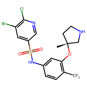 C[C@@]1(Oc2cc(NS(=O)(=O)c3cnc(Cl)c(Br)c3)ccc2C(F)(F)F)CCNC1